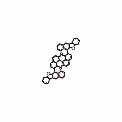 c1ccc(-n2c3ccc4ccc(-c5cccc6c5oc5ccccc56)c5c4c3-c3c4c(ccc(-c6cccc7c6oc6ccccc67)c42)ccc3n5-c2ccccc2)cc1